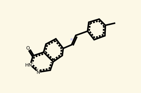 Cc1ccc(/C=C/c2ccc3c(=O)[nH]ncc3c2)cc1